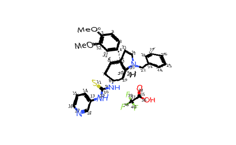 COc1ccc([C@@]23CC[C@@H](NC(=S)Nc4cccnc4)C[C@@H]2N(Cc2ccccc2)CC3)cc1OC.O=C(O)C(F)(F)F